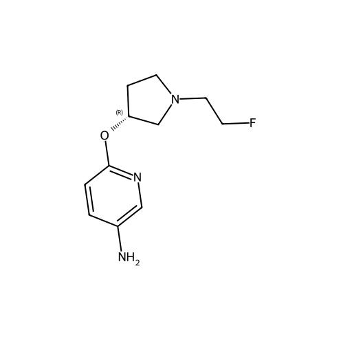 Nc1ccc(O[C@@H]2CCN(CCF)C2)nc1